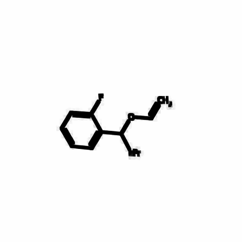 C=COC(CCC)c1ccccc1F